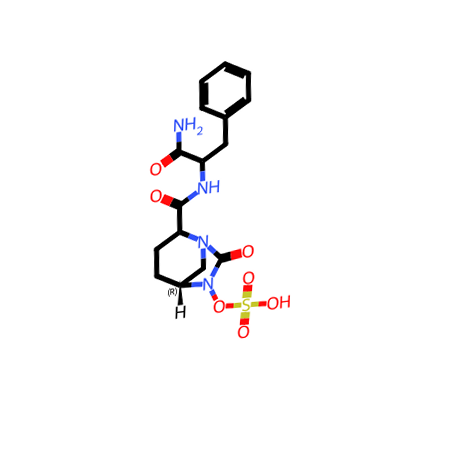 NC(=O)C(Cc1ccccc1)NC(=O)C1CC[C@@H]2CN1C(=O)N2OS(=O)(=O)O